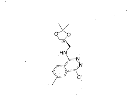 Cc1ccc2c(NC[C@H]3COC(C)(C)O3)nnc(Cl)c2c1